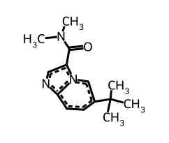 CN(C)C(=O)c1cnc2ccc(C(C)(C)C)cn12